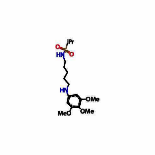 COc1cc(NCCCCCNS(=O)(=O)C(C)C)cc(OC)c1OC